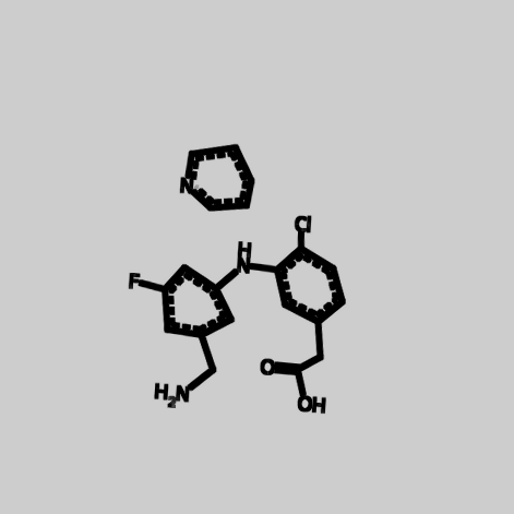 NCc1cc(F)cc(Nc2cc(CC(=O)O)ccc2Cl)c1.c1ccncc1